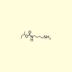 CCC(C)OC(=O)NCCCC[SiH3]